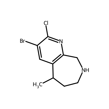 CC1CCNCc2nc(Cl)c(Br)cc21